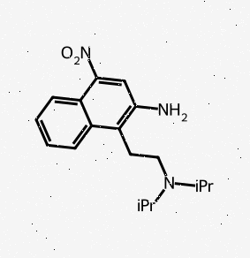 CC(C)N(CCc1c(N)cc([N+](=O)[O-])c2ccccc12)C(C)C